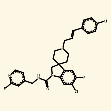 O=C(NCc1ccnc(F)c1)N1CC2(CCN(CC=Cc3ccc(Cl)cc3)CC2)c2cc(F)c(Cl)cc21